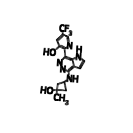 CC1(O)CC(Nc2nnc(-c3ncc(C(F)(F)F)cc3O)c3[nH]ccc23)C1